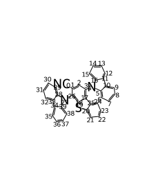 N#Cc1cc(-n2c3ccccc3c3ccccc32)c2c(sc3ccccc32)c1-n1c2ccccc2c2ccccc21